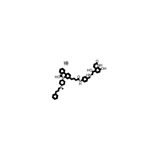 CN(CCCc1ccccc1)[C@H]1CC[C@H](N(C(=O)O)c2cc(CCCC(=O)Nc3ccc(CNC[C@H](O)c4ccc(O)c5[nH]c(=O)ccc45)cc3)ccc2-c2ccccc2)CC1.F.F